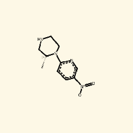 C[C@@H]1CNCCN1c1ccc([N+](=O)[O-])cn1